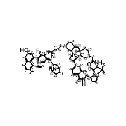 C#Cc1c(F)ccc2cc(O)cc(-c3ncc4c(N5CC6CCC(C5)N6)nc(OCCN5CCC(CC6(F)CCN(CC(=O)NC(C(=O)N7CCCC7C(=O)NC(C)c7ccc(-c8scnc8C)cc7)C(C)(C)C)CC6)CC5)nc4c3F)c12